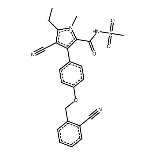 CCc1c(C#N)c(-c2ccc(OCc3ccccc3C#N)cc2)c(C(=O)NS(C)(=O)=O)n1C